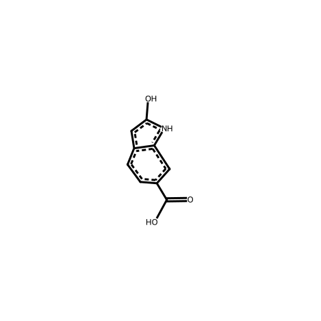 O=C(O)c1ccc2cc(O)[nH]c2c1